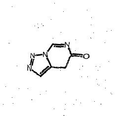 O=C1Cc2cnnn2C=N1